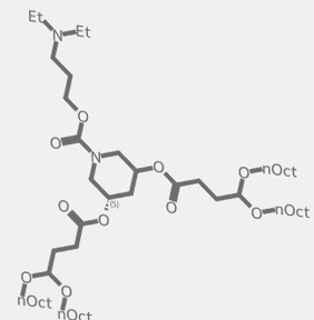 CCCCCCCCOC(CCC(=O)OC1C[C@H](OC(=O)CCC(OCCCCCCCC)OCCCCCCCC)CN(C(=O)OCCCN(CC)CC)C1)OCCCCCCCC